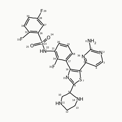 Nc1nccc(-c2sc(C3CNCCN3)nc2-c2cccc(NS(=O)(=O)c3cc(F)ccc3F)c2F)n1